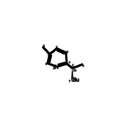 Cc1ccc([C@H](C)C(C)(C)C)nc1